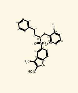 Cc1c(C(=O)O)oc2ccc(S(=O)(=O)N(CCc3ccccc3)Cc3c(F)cccc3Cl)cc12